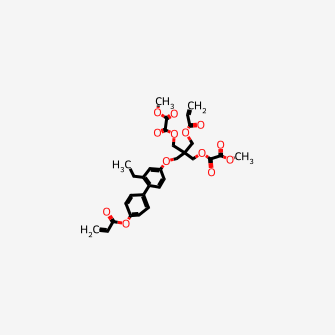 C=CC(=O)OCC(COC(=O)C(=O)OC)(COC(=O)C(=O)OC)COc1ccc(-c2ccc(OC(=O)C=C)cc2)c(CC)c1